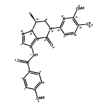 COc1ccc(C(=O)Nc2cnn3c2C(=O)N(c2ccc(C(F)(F)F)c(OC)n2)C[C@@H]3C)cc1